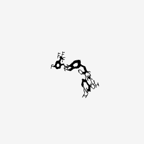 O=C1SC(=Cc2ccc3c(cnn3Cc3ccc(F)cc3C(F)(F)F)c2)C(=O)N1C1CCNCC1O